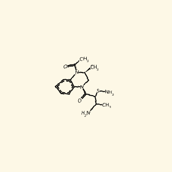 CC(=O)N1c2ccccc2N(C(=O)C(SN)C(C)N)C[C@@H]1C